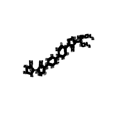 CN[C@@H](C)c1ncc(-c2ccc(-c3ccc(-c4cnc([C@@H]5CCCN5)[nH]4)cc3)cc2)[nH]1